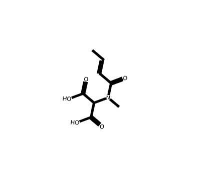 C/C=C/C(=O)N(C)C(C(=O)O)C(=O)O